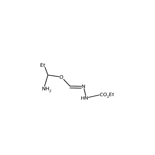 CCOC(=O)NN=COC(N)CC